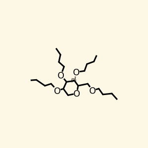 CCCCOCC1OCC(OCCCC)C(OCCCC)[C@@H]1OCCCC